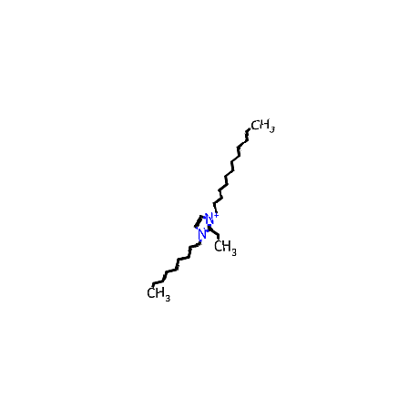 CCCCCCCCCCCCC[n+]1ccn(CCCCCCCCC)c1CC